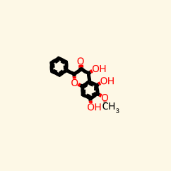 COc1c(O)cc2c(c1O)C(O)C(=O)C(c1ccccc1)O2